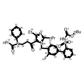 CCCCOC(=O)NS(=O)(=O)c1ccccc1-c1ccc(Cn2c(CCC)nc(CC)c2C(=O)CCN(C(=O)CCC)c2ccccc2)c(F)c1